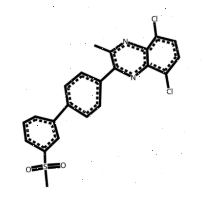 Cc1nc2c(Cl)ccc(Cl)c2nc1-c1ccc(-c2cccc(S(C)(=O)=O)c2)cc1